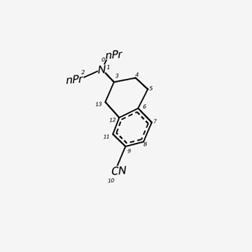 CCCN(CCC)C1CCc2ccc(C#N)cc2C1